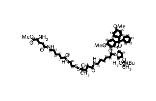 COC(=O)[C@H](N)CCC(=O)NCCCCCC(=O)NCCSSC(C)(C)CCC(=O)NCCCCCC(=O)N1C[C@H](O[Si](C)(C)C(C)(C)C)C[C@H]1COC(c1ccccc1)(c1ccc(OC)cc1)c1ccc(OC)cc1